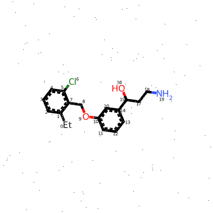 CCc1cccc(Cl)c1COc1cccc(C(O)CCN)c1